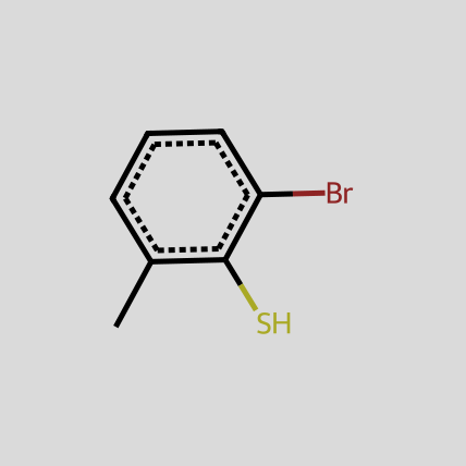 Cc1cccc(Br)c1S